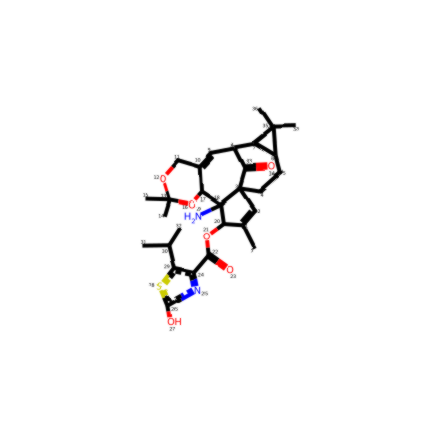 CC1=CC23CCC4C(C(C=C5COC(C)(C)OC5C2(N)C1OC(=O)c1nc(O)sc1C(C)C)C3=O)C4(C)C